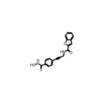 O=C(NCC#Cc1ccc(C(=S)NO)cc1)c1cc2ccccc2o1